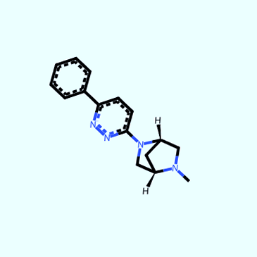 CN1C[C@@H]2C[C@H]1CN2c1ccc(-c2ccccc2)nn1